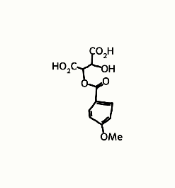 COc1ccc(C(=O)OC(C(=O)O)C(O)C(=O)O)cc1